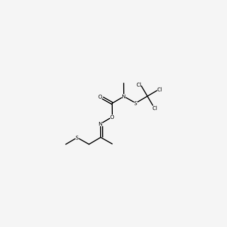 CSCC(C)=NOC(=O)N(C)SC(Cl)(Cl)Cl